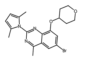 Cc1nc(-n2c(C)ccc2C)nc2c(OC3CCOCC3)cc(Br)cc12